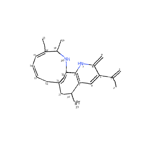 C=C(C)C1=CC2=C(NC1=C)C1=C(C/C=C\C=C(\C)C(C)N1)CC2C(C)C